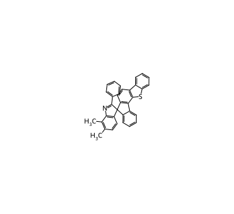 Cc1ccc2c(c1C)N=C(c1ccccc1)C21c2ccccc2-c2c1ccc1c2sc2ccccc21